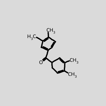 CC1=CCC(C(=O)c2ccc(C)c(C)c2)C=C1C